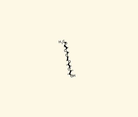 COCCOCOCCOCCOCCO